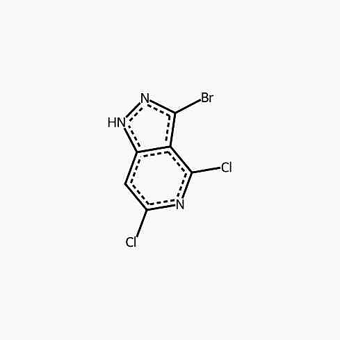 Clc1cc2[nH]nc(Br)c2c(Cl)n1